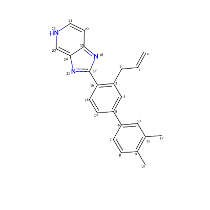 C=CCc1cc(-c2ccc(C)c(C)c2)ccc1-c1nc2cc[nH]cc-2n1